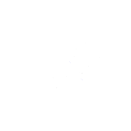 CCOC(=O)/C=C/c1nc(Cl)c(C(F)F)cc1N